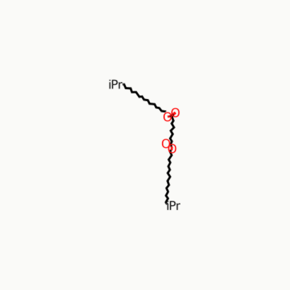 CC(C)CCCCCCCCCCCCCCCOC(=O)CCCCCCCC(=O)OCCCCCCCCCCCCCCCC(C)C